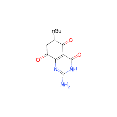 CCCCC1CC(=O)c2nc(N)[nH]c(=O)c2C1=O